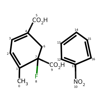 CC1=CC=C(C(=O)O)CC1(F)C(=O)O.O=[N+]([O-])c1ccccc1